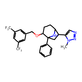 Cn1nncc1C1CC2(c3ccccc3)NC1CCC2OCc1cc(C(F)(F)F)cc(C(F)(F)F)c1